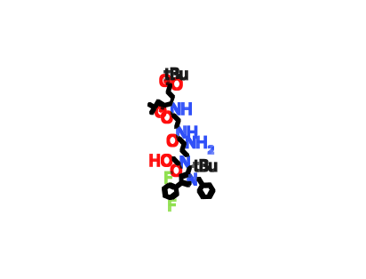 CC(C)(C)OC(=O)CC[C@@H](NC(=O)CCNC(=O)[C@@H](N)CCN(C(=O)CO)[C@@H](c1cc(-c2cc(F)ccc2F)cn1Cc1ccccc1)C(C)(C)C)C1=CC(C)(C)O1